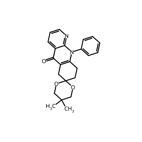 CC1(C)COC2(CCc3c(c(=O)c4cccnc4n3-c3ccccc3)C2)OC1